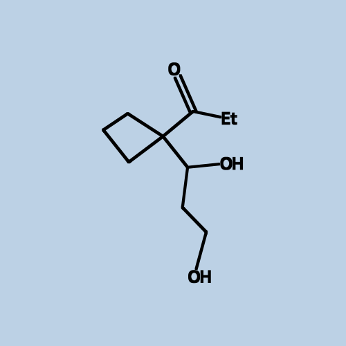 CCC(=O)C1(C(O)CCO)CCC1